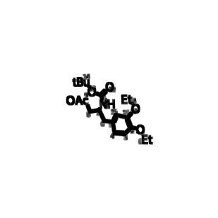 CCOc1ccc(CC(COC(C)=O)NC(=O)OC(C)(C)C)cc1OCC